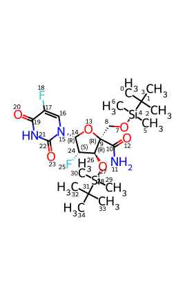 CC(C)(C)[Si](C)(C)OC[C@@]1(C(N)=O)O[C@@H](n2cc(F)c(=O)[nH]c2=O)[C@@H](F)[C@@H]1O[Si](C)(C)C(C)(C)C